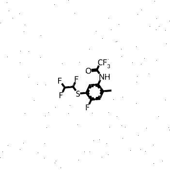 Cc1cc(F)c(SC(F)C(F)F)cc1NC(=O)C(F)(F)F